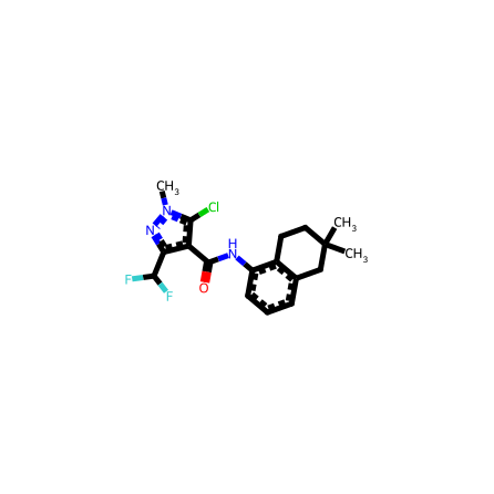 Cn1nc(C(F)F)c(C(=O)Nc2cccc3c2CCC(C)(C)C3)c1Cl